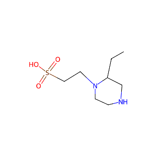 CCC1CNCCN1CCS(=O)(=O)O